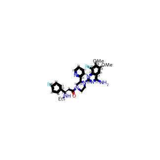 CCN[C@H](CC(=O)N1CCN(c2nc(N)c3cc(OC)c(OC)c(F)c3n2)C(c2ccccn2)C1)c1ccc(F)cc1